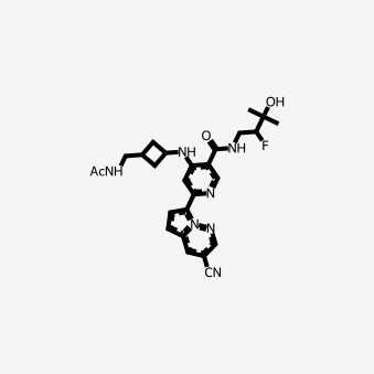 CC(=O)NCC1CC(Nc2cc(-c3ccc4cc(C#N)cnn34)ncc2C(=O)NCC(F)C(C)(C)O)C1